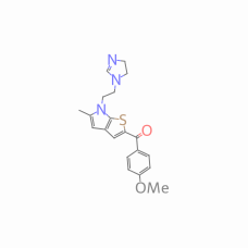 COc1ccc(C(=O)c2cc3cc(C)n(CCN4C=NCC4)c3s2)cc1